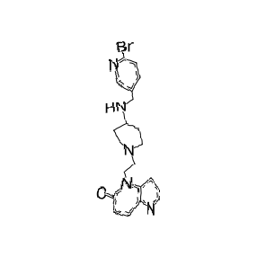 O=c1ccc2ncccc2n1CCN1CCC(NCc2ccc(Br)nc2)CC1